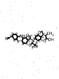 CC(C(=O)O)[C@@H]1COc2cc(N(C(=O)C(F)(F)F)[C@@H]3COc4c(Nc5ccc(C#N)cc5F)cccc43)ccc21